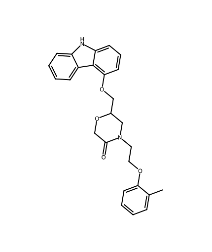 Cc1ccccc1OCCN1CC(COc2cccc3[nH]c4ccccc4c23)OCC1=O